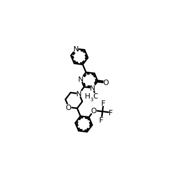 Cn1c(N2CCOC(c3ccccc3OC(F)(F)F)C2)nc(-c2ccncc2)cc1=O